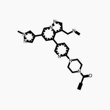 C#CC(=O)N1CCN(c2ccc(-c3cc(-c4cnn(C)c4)cn4ncc(CN=C)c34)cn2)CC1